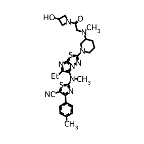 CCc1nc2sc(N3CCCC(N(C)CC(=O)N4CC(O)C4)C3)nn2c1N(C)c1nc(-c2ccc(C)cc2)c(C#N)s1